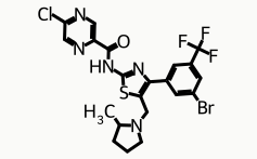 CC1CCCN1Cc1sc(NC(=O)c2cnc(Cl)cn2)nc1-c1cc(Br)cc(C(F)(F)F)c1